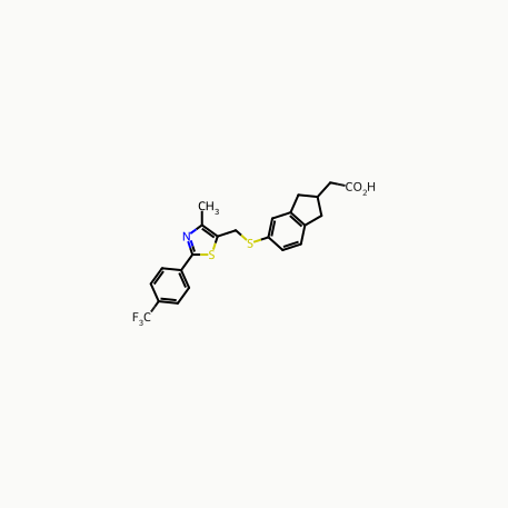 Cc1nc(-c2ccc(C(F)(F)F)cc2)sc1CSc1ccc2c(c1)CC(CC(=O)O)C2